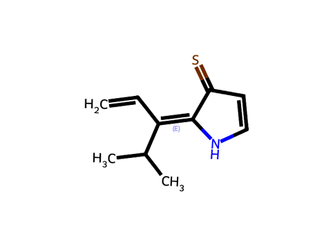 C=C/C(=C1/NC=CC1=S)C(C)C